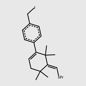 CCC/C=C1\C(C)(C)CC=C(c2ccc(CI)cc2)C1(C)C